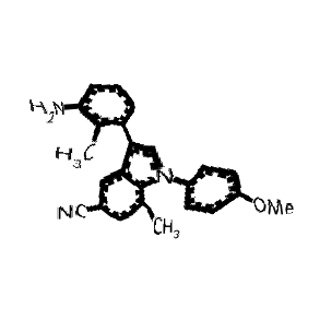 COc1ccc(-n2cc(-c3cccc(N)c3C)c3cc(C#N)cc(C)c32)cc1